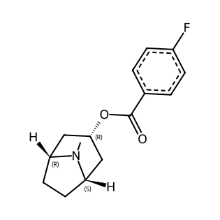 CN1[C@@H]2CC[C@H]1C[C@@H](OC(=O)c1ccc(F)cc1)C2